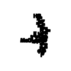 COc1cc(F)c([C@@H]2CN(c3cc(C)cc(C4CCN(CCO)CC4)n3)C(=O)[C@H]2NC(=O)c2ccc(OC(F)F)cc2)c(F)c1